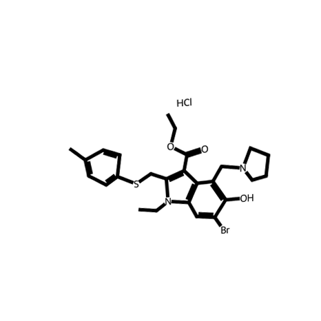 CCOC(=O)c1c(CSc2ccc(C)cc2)n(CC)c2cc(Br)c(O)c(CN3CCCC3)c12.Cl